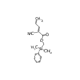 C=C/C=C(\C#N)C(=O)OC[Si](C)(C)c1ccccc1